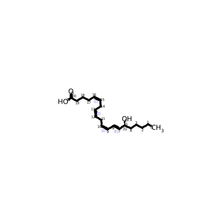 CCCCC[C@H](O)/C=C/C=C\C/C=C\C/C=C\CCCC(=O)O